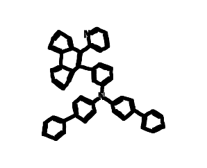 c1ccc(-c2ccc(N(c3ccc(-c4ccccc4)cc3)c3cccc(-c4c(-c5ccccn5)c5ccccc5c5ccccc45)c3)cc2)cc1